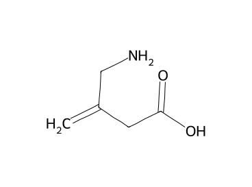 C=C(CN)CC(=O)O